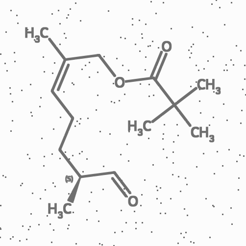 CC(=CCC[C@H](C)C=O)COC(=O)C(C)(C)C